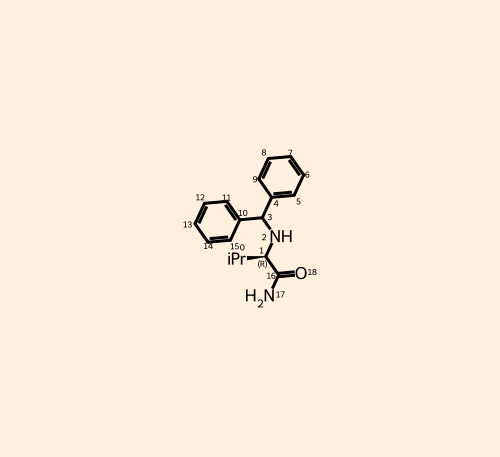 CC(C)[C@@H](NC(c1ccccc1)c1ccccc1)C(N)=O